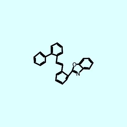 C(=C\c1ccccc1-c1nc2ccccc2o1)/c1ccccc1-c1ccccc1